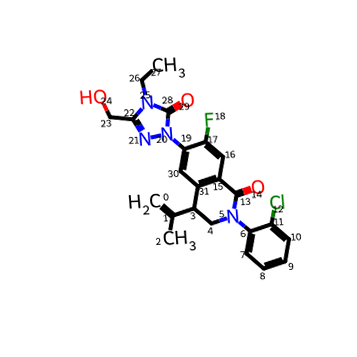 C=C(C)C1CN(c2ccccc2Cl)C(=O)c2cc(F)c(-n3nc(CO)n(CC)c3=O)cc21